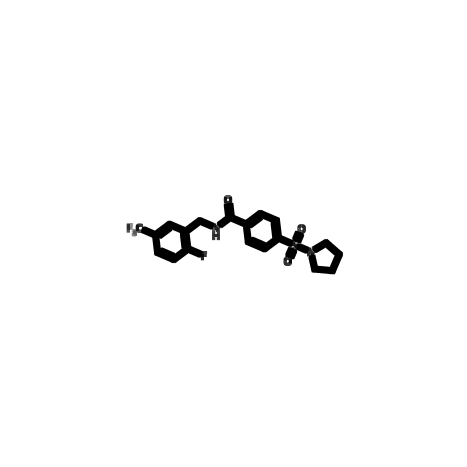 O=C(NCc1cc(C(F)(F)F)ccc1F)c1ccc(S(=O)(=O)N2CCCC2)cc1